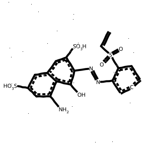 C=CS(=O)(=O)c1ccccc1N=Nc1c(S(=O)(=O)O)cc2cc(S(=O)(=O)O)cc(N)c2c1O